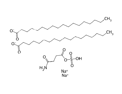 CCCCCCCCCCCCCCCCCC(=O)[O-].CCCCCCCCCCCCCCCCCC(=O)[O-].NC(=O)CCC(=O)OS(=O)(=O)O.[Na+].[Na+]